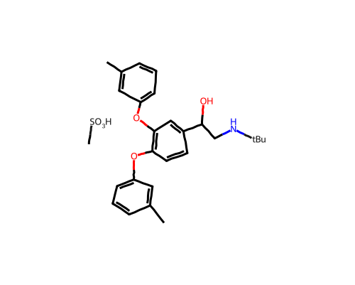 CS(=O)(=O)O.Cc1cccc(Oc2ccc(C(O)CNC(C)(C)C)cc2Oc2cccc(C)c2)c1